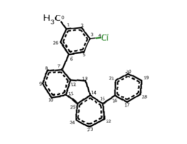 Cc1cc(Cl)cc(-c2cccc3c2Cc2c(-c4ccccc4)cccc2-3)c1